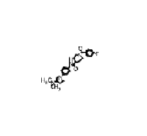 CN(C)C1CCN(c2ccc(NC(=O)C3CCN(C(=O)c4ccc(F)cc4)CC3)cc2)C1